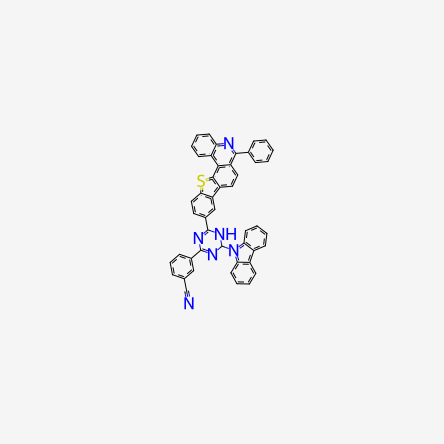 N#Cc1cccc(C2=NC(n3c4ccccc4c4ccccc43)NC(c3ccc4sc5c(ccc6c(-c7ccccc7)nc7ccccc7c65)c4c3)=N2)c1